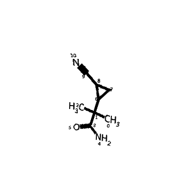 CC(C)(C(N)=O)C1CC1C#N